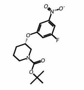 CC(C)(C)OC(=O)N1CCC[C@H](Oc2cc(F)cc([N+](=O)[O-])c2)C1